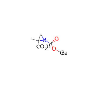 CC(C)(C)OC(=O)N1CC1(C)C(=O)O